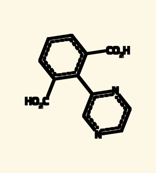 O=C(O)c1cccc(C(=O)O)c1-c1cnccn1